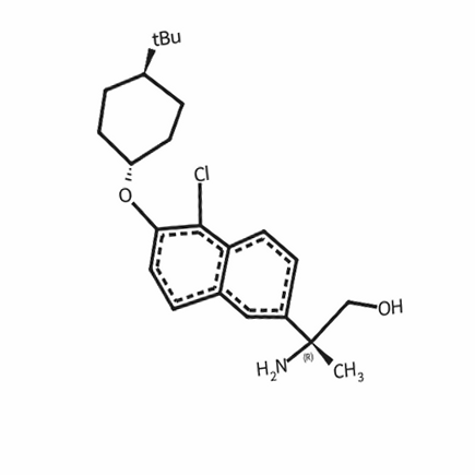 CC(C)(C)[C@H]1CC[C@H](Oc2ccc3cc([C@@](C)(N)CO)ccc3c2Cl)CC1